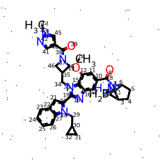 B[C@]1(N)C2CCC1N(C(=O)c1cc(OC)c3c(c1)nc(-c1cc4ccccc4n1CC1CC1)n3CC1CN(C(=O)c3cnn(C)c3)C1)C2